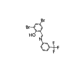 Oc1c(Br)cc(Br)cc1C=Nc1cccc(C(F)(F)F)c1